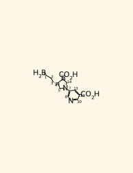 BCCC[C@H]1CN(c2cncc(C(=O)O)c2)C[C@H]1C(=O)O